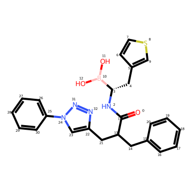 O=C(N[C@@H](Cc1ccsc1)B(O)O)C(Cc1ccccc1)Cc1cn(-c2ccccc2)nn1